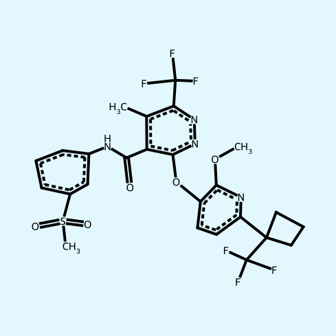 COc1nc(C2(C(F)(F)F)CCC2)ccc1Oc1nnc(C(F)(F)F)c(C)c1C(=O)Nc1cccc(S(C)(=O)=O)c1